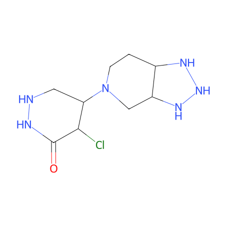 O=C1NNCC(N2CCC3NNNC3C2)C1Cl